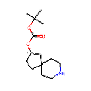 CC(C)(C)OC(=O)O[C@@H]1CCC2(CCNCC2)C1